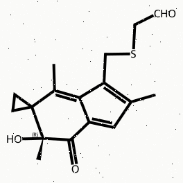 CC1=C(CSCC=O)C2=C(C)C3(CC3)[C@@](C)(O)C(=O)C2=C1